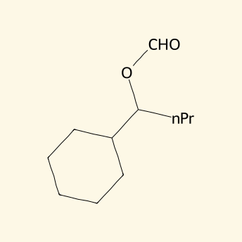 CCCC(OC=O)C1CCCCC1